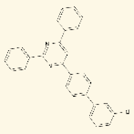 Clc1cccc(-c2ccc(-c3cc(-c4ccccc4)nc(-c4ccccc4)n3)cc2)c1